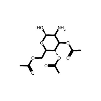 CC(=O)OCC1O[C@@H](O)C(N)C(OC(C)=O)[C@@H]1OC(C)=O